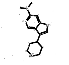 CN(C)c1cc2[nH]cc(C3CCNCC3)c2cn1